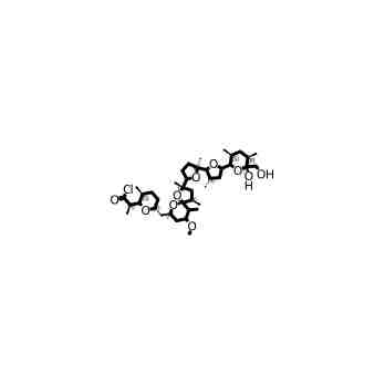 COC1C[C@@H](C[C@H]2CC[C@H](C)C([C@@H](C)C(=O)Cl)O2)O[C@]2(O[C@](C)(C3CC[C@@](C)(C4OC(C5O[C@@](O)(CO)[C@H](C)C[C@@H]5C)C[C@@H]4C)O3)C[C@H]2C)C1C